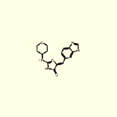 O=C1NC(NC2CCOCC2)=N/C1=C\c1ccc2ncsc2c1